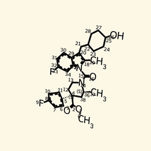 COC(=O)[C@@]1(c2ccc(F)cc2)CCN(C(=O)n2c(C)c(CC3CCC(O)CC3)c3ccc(F)cc32)[C@@H](C)C1